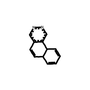 C1=CC2C=Cc3cnncc3C2C=C1